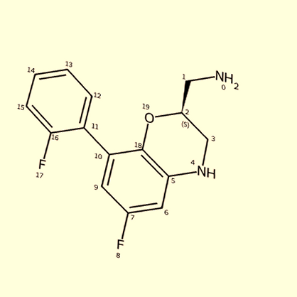 NC[C@H]1CNc2cc(F)cc(-c3ccccc3F)c2O1